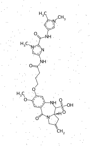 C=C1C[C@H]2C(S(=O)(=O)O)Nc3cc(OCCCC(=O)Nc4cn(C)c(C(=O)Nc5cc(C)n(C)c5)n4)c(OC)cc3C(=O)N2C1